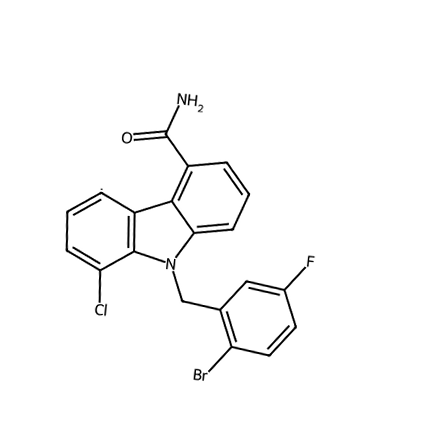 NC(=O)c1cccc2c1c1[c]ccc(Cl)c1n2Cc1cc(F)ccc1Br